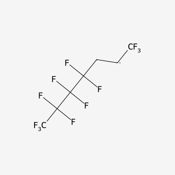 FC(F)(F)[CH]CC(F)(F)C(F)(F)C(F)(F)C(F)(F)F